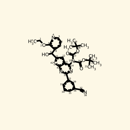 CCOc1ncccc1C(O)c1cc2c(N(C(=O)OC(C)(C)C)C(=O)OC(C)(C)C)nc(-c3cccc(C#N)c3)nc2s1